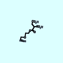 CCCCCCCCCCOCCOC(=O)C(CC(=O)O)S(=O)(=O)O